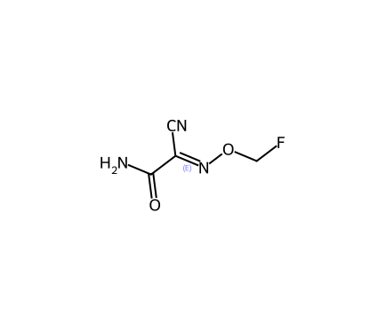 N#C/C(=N\OCF)C(N)=O